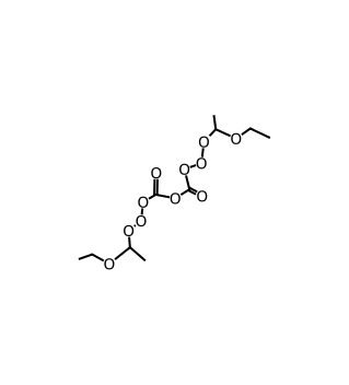 CCOC(C)OOOC(=O)OC(=O)OOOC(C)OCC